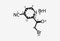 Br.N#Cc1ccnc(C(=O)CBr)c1